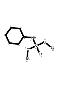 CCO[Si](CC)(NC1CCCCC1)OCC